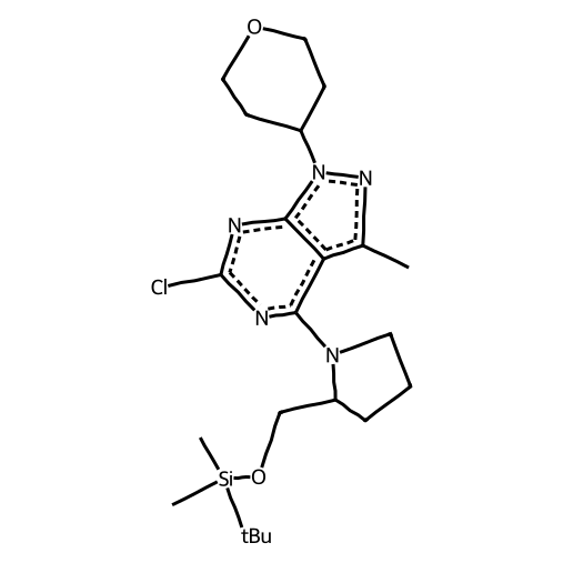 Cc1nn(C2CCOCC2)c2nc(Cl)nc(N3CCCC3CO[Si](C)(C)C(C)(C)C)c12